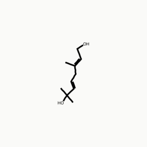 C/C(=C\CO)C/C=C/C(C)(C)O